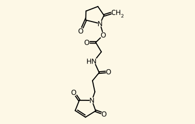 C=C1CCC(=O)N1OC(=O)CNC(=O)CCN1C(=O)C=CC1=O